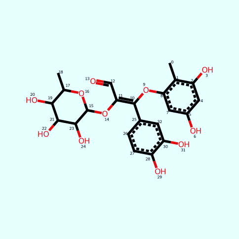 Cc1c(O)cc(O)cc1O/C(=C(\C=O)OC1OC(C)C(O)C(O)C1O)c1ccc(O)c(O)c1